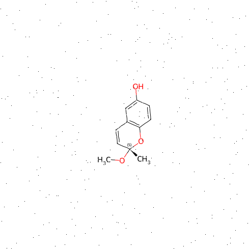 CO[C@]1(C)C=Cc2cc(O)ccc2O1